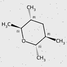 C[C@@H]1C[C@@H](C)[C@H](C)O[C@H]1C